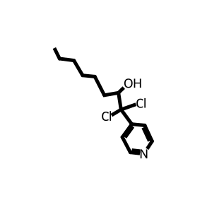 CCCCCCC(O)C(Cl)(Cl)c1ccncc1